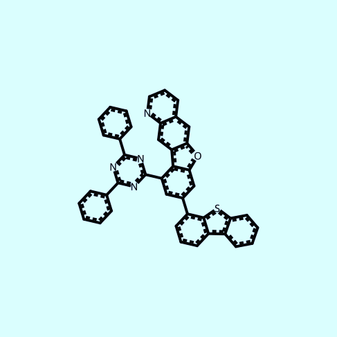 c1ccc(-c2nc(-c3ccccc3)nc(-c3cc(-c4cccc5c4sc4ccccc45)cc4oc5cc6cccnc6cc5c34)n2)cc1